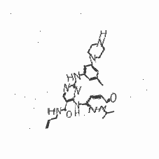 C=CCNC(=O)c1cnc(Nc2cc(C)cc(N3CCNCC3)c2)nc1NC(/C=C\C=O)=N/N(C)C(C)C